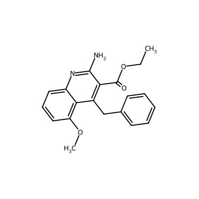 CCOC(=O)c1c(N)nc2cccc(OC)c2c1Cc1ccccc1